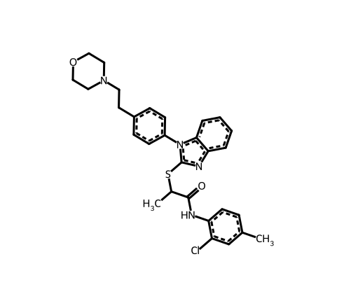 Cc1ccc(NC(=O)C(C)Sc2nc3ccccc3n2-c2ccc(CCN3CCOCC3)cc2)c(Cl)c1